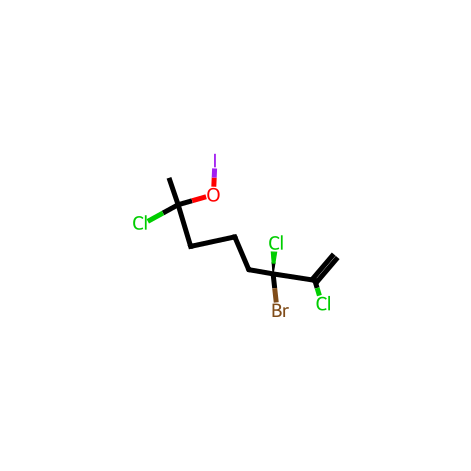 C=C(Cl)[C@](Cl)(Br)CCCC(C)(Cl)OI